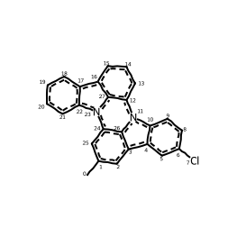 Cc1cc2c3cc(Cl)ccc3n3c4cccc5c6ccccc6n(c(c1)c23)c54